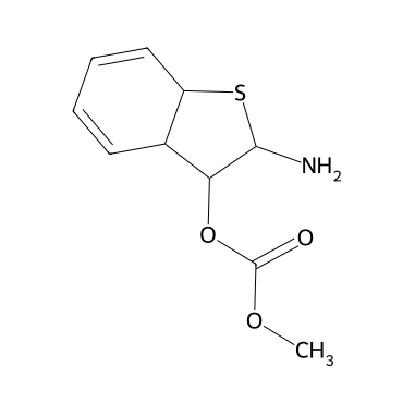 COC(=O)OC1C(N)SC2C=CC=CC21